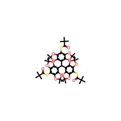 CC1(C)Oc2c(c([C](c3c4c(c(SC(=O)C(C)(C)C)c5c3OC(C)(C)O5)OC(C)(C)O4)c3c4c(c(SC(=O)C(C)(C)C)c5c3OC(C)(C)O5)OC(C)(C)O4)c3c(c2SC(=O)C(C)(C)C)OC(C)(C)O3)O1